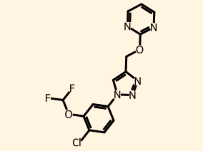 FC(F)Oc1cc(-n2cc(COc3ncccn3)nn2)ccc1Cl